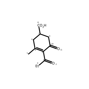 CCC(=O)C1=C(C)CC(C(=O)O)CC1=O